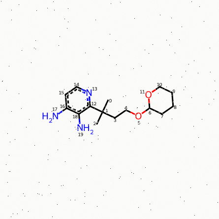 CC(C)(CCOC1CCCCO1)c1nccc(N)c1N